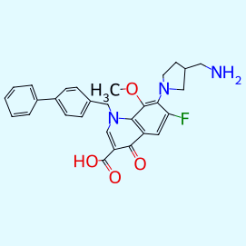 COc1c(N2CCC(CN)C2)c(F)cc2c(=O)c(C(=O)O)cn(Cc3ccc(-c4ccccc4)cc3)c12